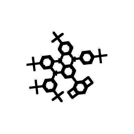 CC(C)(C)c1ccc(N2c3ccc(C(C)(C)C)cc3B3c4ccc(C(C)(C)C)cc4N(c4cc(C(C)(C)C)cc(C(C)(C)C)c4)c4cc(-c5c6c(cc7c5CC7)CC6)cc2c43)cc1